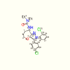 CCN(CC)C(=O)NC1CCCOc2c1nn(-c1ccccc1Cl)c2-c1ccc(Cl)cc1